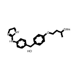 COC(C)CCOc1ccc(Cc2ccc(NC3=NCCN3)cc2)cc1.Cl